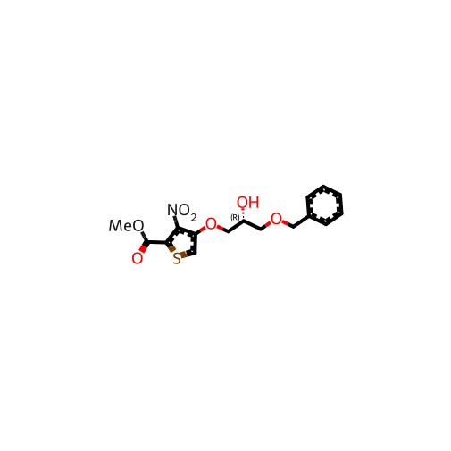 COC(=O)c1scc(OC[C@H](O)COCc2ccccc2)c1[N+](=O)[O-]